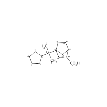 CC(C)(C1CCCC1)C12C=CC(C1)C(C(=O)O)C2